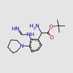 CC(C)(C)OC(=O)C(N)c1cccc(N2CCCCC2)c1NC=N